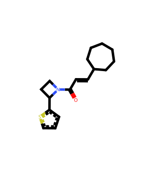 O=C(/C=C/C1CCCCCC1)N1CCC1c1cccs1